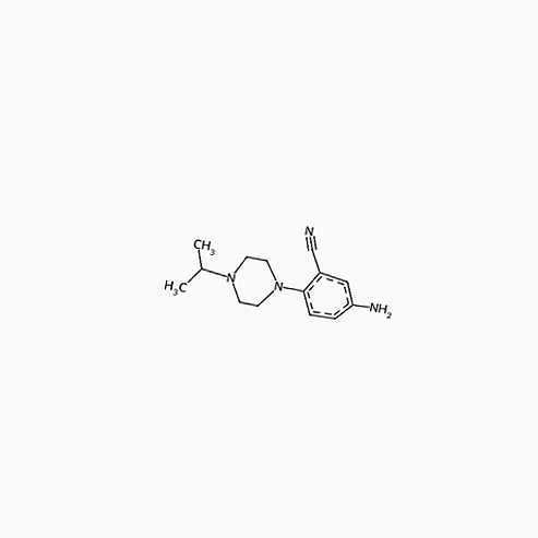 CC(C)N1CCN(c2ccc(N)cc2C#N)CC1